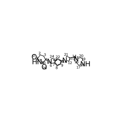 O=C1CCC(N2Cc3ccc(N4CC(CN5CCNCC5)C4)cc3C2)C(=O)N1